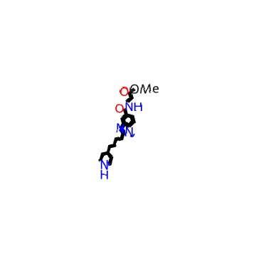 COC(=O)CCNC(=O)c1ccc2c(c1)nc(CCCCC1CCNCC1)n2C